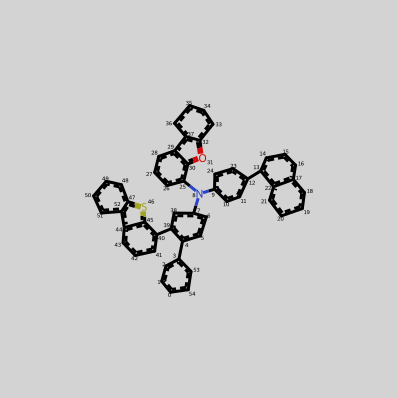 c1ccc(-c2ccc(N(c3ccc(-c4cccc5ccccc45)cc3)c3cccc4c3oc3ccccc34)cc2-c2cccc3c2sc2ccccc23)cc1